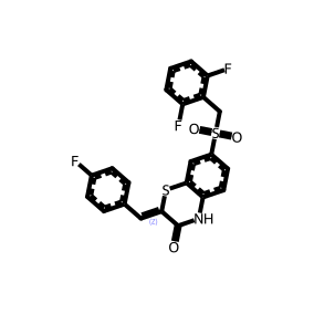 O=C1Nc2ccc(S(=O)(=O)Cc3c(F)cccc3F)cc2S/C1=C\c1ccc(F)cc1